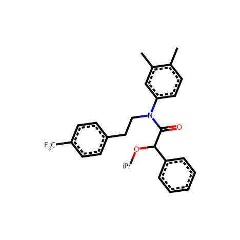 Cc1ccc(N(CCc2ccc(C(F)(F)F)cc2)C(=O)C(OC(C)C)c2ccccc2)cc1C